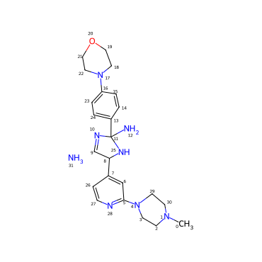 CN1CCN(c2cc(C3C=NC(N)(c4ccc(N5CCOCC5)cc4)N3)ccn2)CC1.N